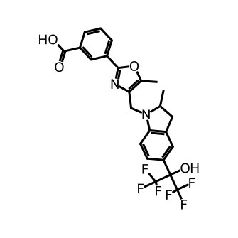 Cc1oc(-c2cccc(C(=O)O)c2)nc1CN1c2ccc(C(O)(C(F)(F)F)C(F)(F)F)cc2CC1C